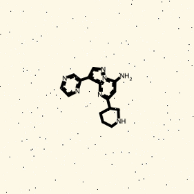 Nc1cc(C2CCCNC2)nc2c(-c3cnccn3)cnn12